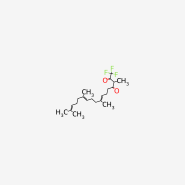 CC(C)=CCCC(C)=CCCC(C)=CCCC(=O)C(C)C(=O)C(F)(F)F